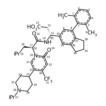 Cc1cccc(C)c1-c1cc([C@@H](CC(=O)O)NC(=O)[C@H](CC(C)C)n2cc(C3CCN(C(C)C)CC3)c(C(F)(F)F)cc2=O)cc2c1CCC2